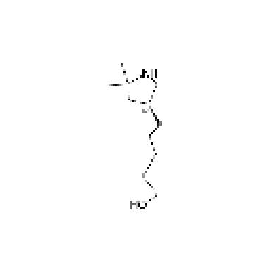 CC1(C)C[C@H](CCCCCO)CN1